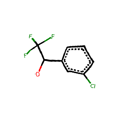 [O]C(c1cccc(Cl)c1)C(F)(F)F